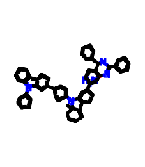 CC12CC=CC=C1c1ccc(-c3ccc(/C(=N\C(=N/CN)c4ccccc4)c4ccccc4)cc3)cc1N2c1ccc(-c2ccc3c4ccccc4n(-c4ccccc4)c3c2)cc1